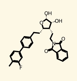 Cc1ccc(-c2ccc(CC[C@@H]3O[C@H](O)[C@H](O)[C@@H]3CCN3C(=O)c4ccccc4C3=O)cc2)cc1F